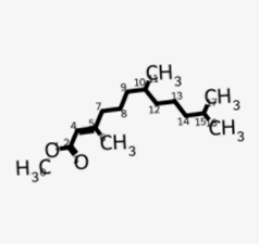 COC(=O)/C=C(\C)CCCC(C)CCCC(C)C